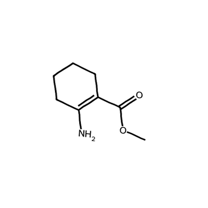 COC(=O)C1=C(N)CCCC1